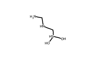 NCNC[SiH](O)O